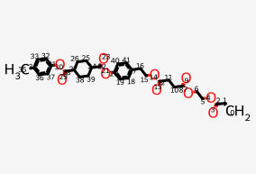 C=CC(=O)OCCOC(=O)CCC(=O)OCCc1ccc(OC(=O)C2CCC(C(=O)Oc3ccc(C)cc3)CC2)cc1